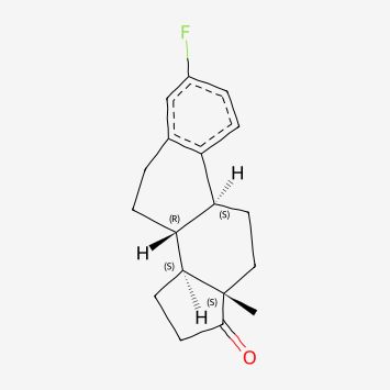 C[C@]12CC[C@@H]3c4ccc(F)cc4CC[C@H]3[C@@H]1CCC2=O